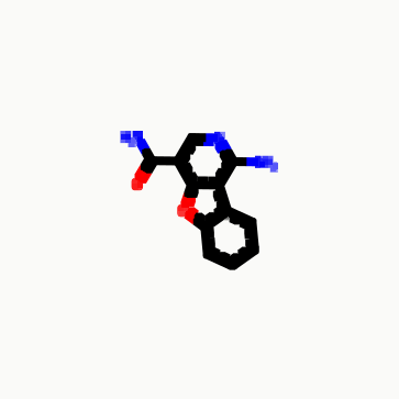 NC(=O)c1cnc(N)c2c1oc1ccccc12